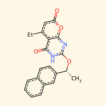 CCc1cc(=O)oc2nc(O[C@H](C)c3ccc4ccccc4c3)[nH]c(=O)c12